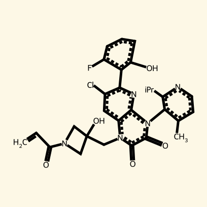 C=CC(=O)N1CC(O)(Cn2c(=O)c(=O)n(-c3c(C)ccnc3C(C)C)c3nc(-c4c(O)cccc4F)c(Cl)cc32)C1